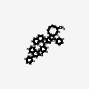 C=C1/C=C\C=C/Cc2c(n(-c3ccccc3)c3sc4c(c5ccc6ccccc6c5n4-c4ccc5oc6cc(-c7ccccc7)c7ccccc7c6c5c4)c23)/C=C\1